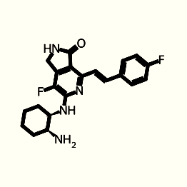 N[C@H]1CCCC[C@H]1Nc1nc(/C=C/c2ccc(F)cc2)c2c(c1F)CNC2=O